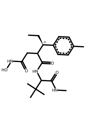 CC[C@@H](c1ccc(C)cc1)C(CC(=O)NO)C(=O)NC(C(=O)NC)C(C)(C)C